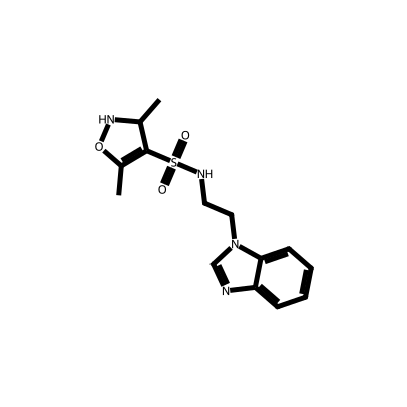 CC1=C(S(=O)(=O)NCCn2[c]nc3ccccc32)C(C)NO1